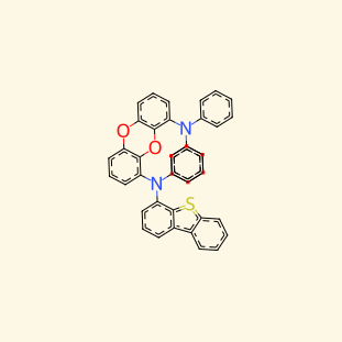 c1ccc(N(c2ccccc2)c2cccc3c2Oc2c(cccc2N(c2ccccc2)c2cccc4c2sc2ccccc24)O3)cc1